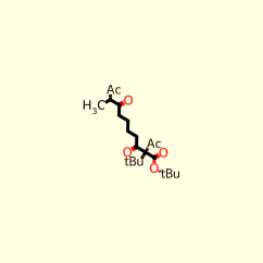 CC(=O)C(C)C(=O)CCCCC(=O)C(C(C)=O)(C(=O)OC(C)(C)C)C(C)(C)C